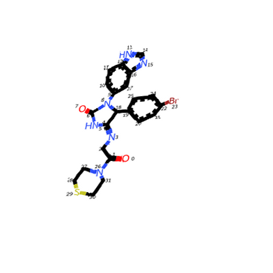 O=C(CN=C1NC(=O)N(c2ccc3[nH]cnc3c2)C1c1ccc(Br)cc1)N1CCSCC1